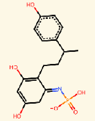 CC(CCC1=C(O)C=C(O)CC1=NP(=O)(O)O)c1ccc(O)cc1